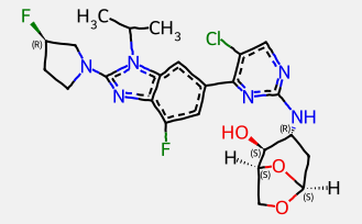 CC(C)n1c(N2CC[C@@H](F)C2)nc2c(F)cc(-c3nc(N[C@@H]4C[C@H]5OC[C@H](O5)[C@H]4O)ncc3Cl)cc21